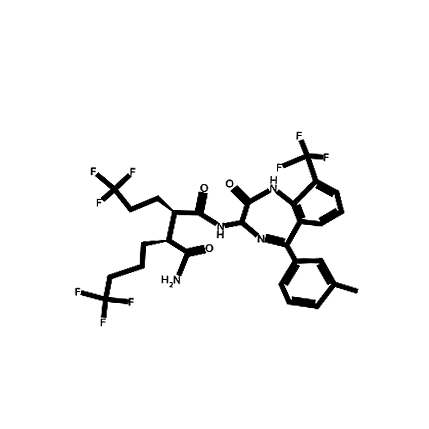 Cc1cccc(C2=NC(NC(=O)[C@H](CCC(F)(F)F)[C@H](CCCC(F)(F)F)C(N)=O)C(=O)Nc3c2cccc3C(F)(F)F)c1